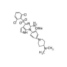 COc1cc(N2CCC(N(C)C)CC2)ccc1N1c2[nH]ccc2C(S(=O)(=O)c2c(Cl)cccc2Cl)=NC1N